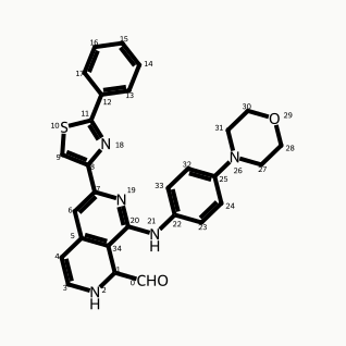 O=CC1NC=Cc2cc(-c3csc(-c4ccccc4)n3)nc(Nc3ccc(N4CCOCC4)cc3)c21